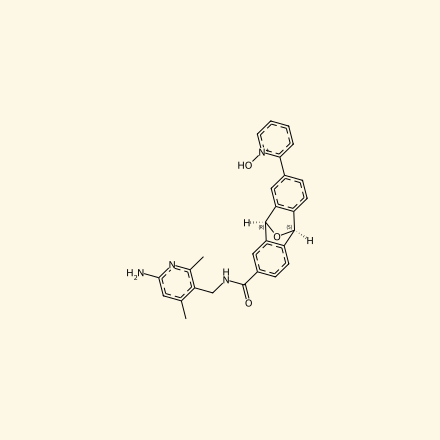 Cc1cc(N)nc(C)c1CNC(=O)c1ccc2c(c1)[C@@H]1O[C@H]2c2ccc(-c3cccc[n+]3O)cc21